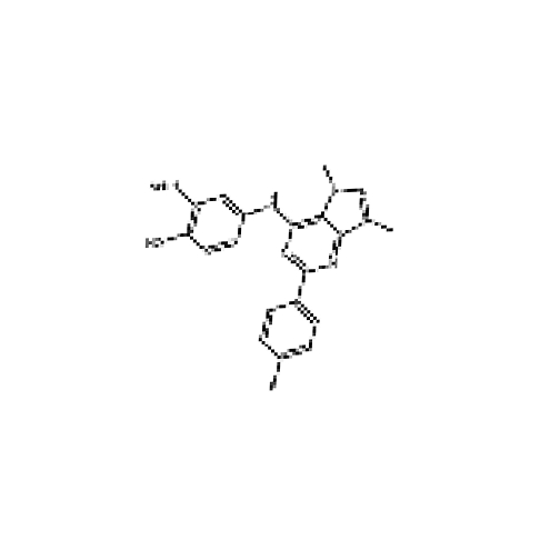 CC(=O)Nc1cc(Nc2nc(-c3ccc(F)cc3)nc3c(C)nn(C)c23)ccc1O